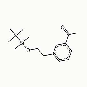 CC(=O)c1cccc(CCO[Si](C)(C)C(C)(C)C)c1